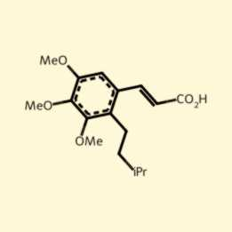 COc1cc(/C=C/C(=O)O)c(CCC(C)C)c(OC)c1OC